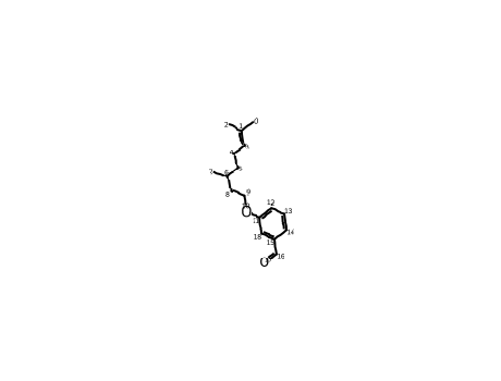 CC(C)=CCCC(C)CCOc1cccc(C=O)c1